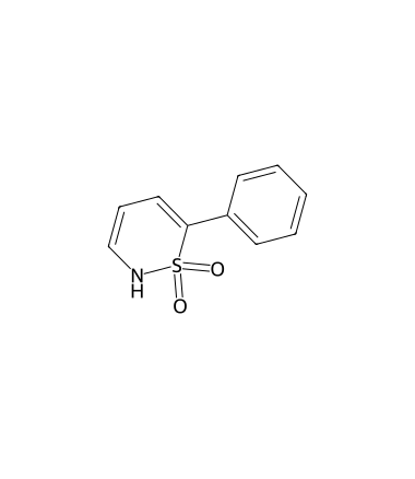 O=S1(=O)NC=CC=C1c1ccccc1